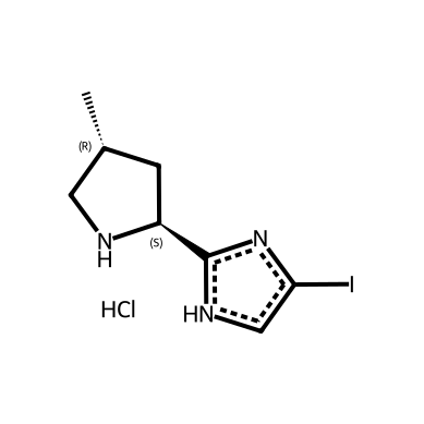 C[C@H]1CN[C@H](c2nc(I)c[nH]2)C1.Cl